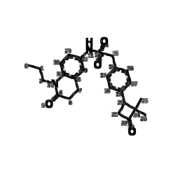 CCCN1C(=O)CCc2cc(NS(=O)(=O)Cc3ccc(C4CC(=O)C4(C)C)cc3)ccc21